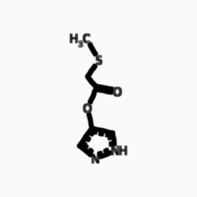 CSCC(=O)Oc1cn[nH]c1